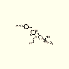 COc1ccc(CC(=O)N[C@@H](CCCNC(=N)N[N+](=O)[O-])C(=O)NCCC(C)C)cc1